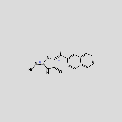 C/C(=C1\S/C(=N/C#N)NC1=O)c1ccc2ccccc2c1